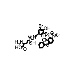 CP(=O)(O)CCC(N)C(=O)O.N#Cc1cc(Br)c(O)c(Br)c1.Nc1c([N+](=O)[O-])ccc(Oc2ccccc2)c1Cl